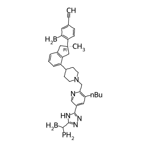 Bc1cc(C#C)ccc1[C@]1(C)Cc2cccc(C3CCN(Cc4ncc(-c5nnc(C(B)P)[nH]5)cc4CCCC)CC3)c2C1